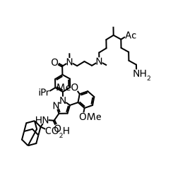 COc1cccc(OC)c1-c1cc(C(=O)NC2(C(=O)O)C3CC4CC(C3)CC2C4)nn1-c1ccc(C(=O)N(C)CCCN(C)CCCC(C)C(CCCCN)C(C)=O)cc1C(C)C